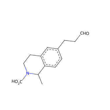 CC1c2ccc(CCC=O)cc2CCN1C(=O)O